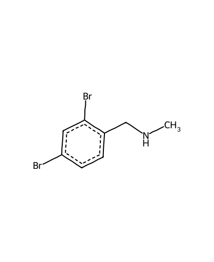 CNCc1ccc(Br)cc1Br